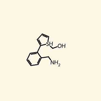 NCc1ccccc1C1=CC=C[SH]1CO